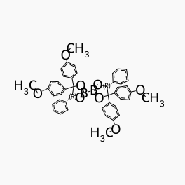 COc1ccc(C2(c3ccc(OC)cc3)OB(B3O[C@H](c4ccccc4)C(c4ccc(OC)cc4)(c4ccc(OC)cc4)O3)O[C@@H]2c2ccccc2)cc1